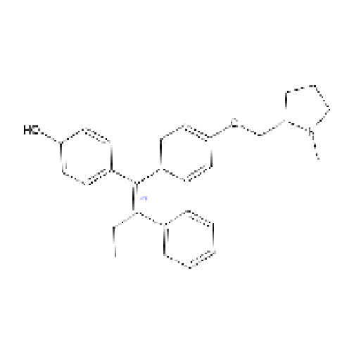 CC/C(=C(\c1ccc(O)cc1)c1ccc(OCC2CCCN2C)cc1)c1ccccc1